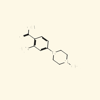 CN1CCN(c2ccc(C(=O)O)c(N)c2)CC1